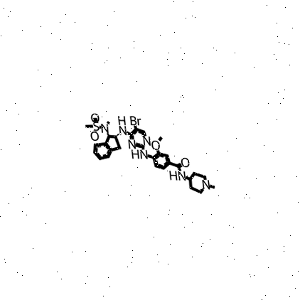 COc1cc(C(=O)NC2CCN(C)CC2)ccc1Nc1ncc(Br)c(N[C@@H]2Cc3ccccc3[C@H]2N(C)S(C)(=O)=O)n1